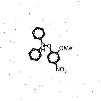 COc1cc([N+](=O)[O-])ccc1O[SiH](c1ccccc1)c1ccccc1